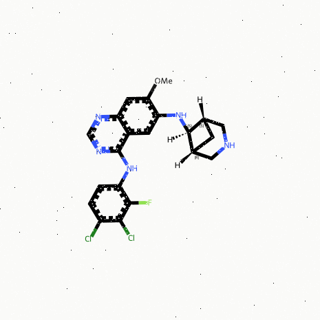 COc1cc2ncnc(Nc3ccc(Cl)c(Cl)c3F)c2cc1N[C@H]1[C@@H]2CNC[C@H]1C2